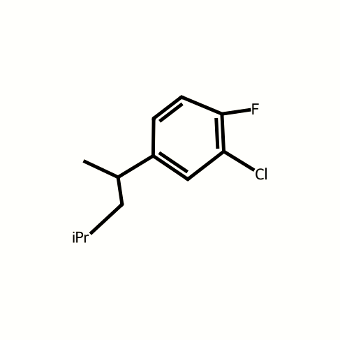 CC(C)CC(C)c1ccc(F)c(Cl)c1